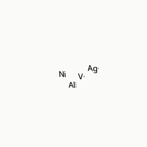 [Ag].[Al].[Ni].[V]